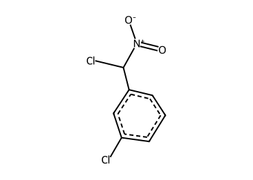 O=[N+]([O-])C(Cl)c1cccc(Cl)c1